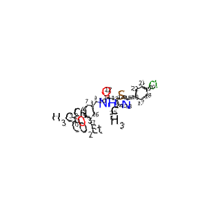 CCOC(=O)C(C)(C)Oc1ccc(CNC(=O)c2sc(-c3ccc(Cl)cc3)nc2C)cc1